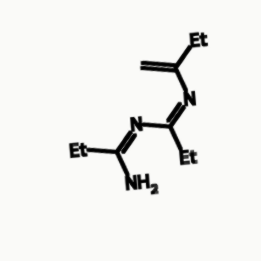 C=C(CC)/N=C(CC)\N=C(/N)CC